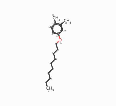 CCCCCCCCCCOc1ccc(C)c(C)c1